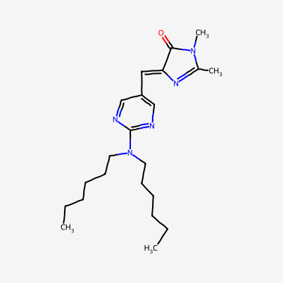 CCCCCCN(CCCCCC)c1ncc(/C=C2\N=C(C)N(C)C2=O)cn1